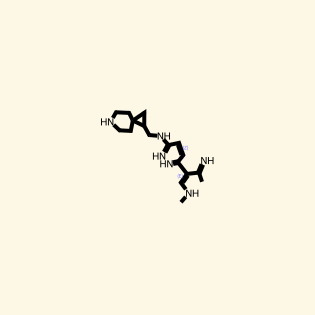 CN/C=C(\C(C)=N)C(=N)/C=C\C(=N)NCC1CC12CCNCC2